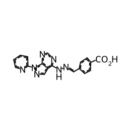 O=C(O)c1ccc(/C=N/Nc2ncnc3c2cnn3-c2ccccn2)cc1